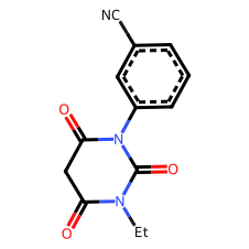 CCN1C(=O)CC(=O)N(c2cccc(C#N)c2)C1=O